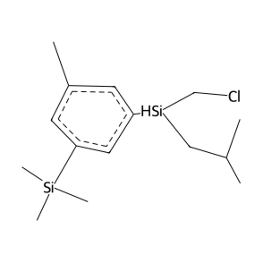 Cc1cc([SiH](CCl)CC(C)C)cc([Si](C)(C)C)c1